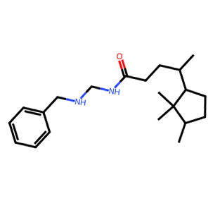 CC(CCC(=O)NCNCc1ccccc1)C1CCC(C)C1(C)C